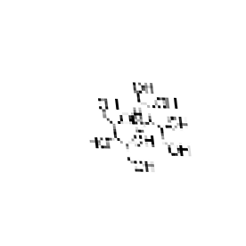 OC[C@@H](O)C(O)[C@H](O)CO.OC[C@@H](O)[C@H](O)[C@@H](O)CO